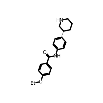 CCOc1ccc(C(=O)Nc2ccc([C@H]3CCCNC3)cc2)cc1